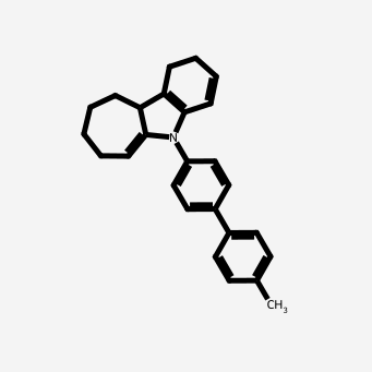 Cc1ccc(-c2ccc(N3C4=CCCCCC4C4=C3C=CCC4)cc2)cc1